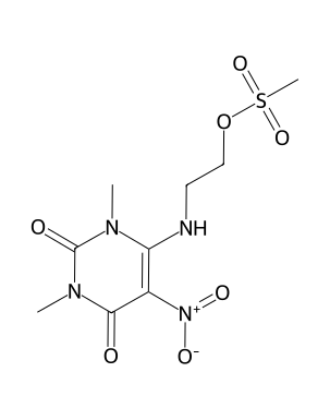 Cn1c(NCCOS(C)(=O)=O)c([N+](=O)[O-])c(=O)n(C)c1=O